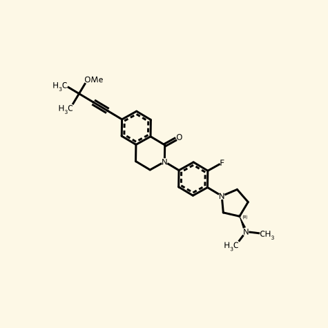 COC(C)(C)C#Cc1ccc2c(c1)CCN(c1ccc(N3CC[C@@H](N(C)C)C3)c(F)c1)C2=O